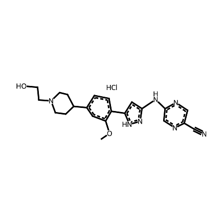 COc1cc(C2CCN(CCO)CC2)ccc1-c1cc(Nc2cnc(C#N)cn2)n[nH]1.Cl